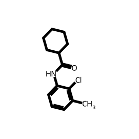 Cc1cccc(NC(=O)C2CCCCC2)c1Cl